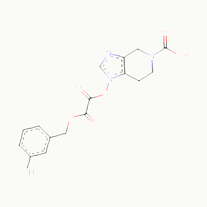 Cc1cccc(COC(=O)C(=O)On2cnc3c2CCN(C(=O)O)C3)c1